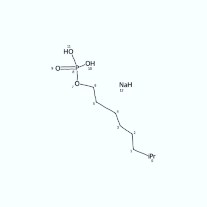 CC(C)CCCCCCOP(=O)(O)O.[NaH]